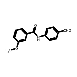 O=Cc1ccc(NC(=O)c2cccc(OC(F)(F)F)c2)cc1